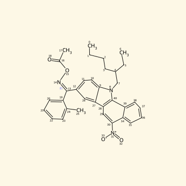 CCCCC(CC)Cn1c2ccc(/C(=N\OC(C)=O)c3ccccc3C)cc2c2cc([N+](=O)[O-])c3ccccc3c21